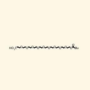 CCC(C)C(=O)OCCOCCOCCOCCOCCOCCOCCOCCOCCOCCC(=O)O